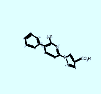 N#Cc1nc(-n2cc(C(=O)O)cn2)ccc1-c1ccccc1